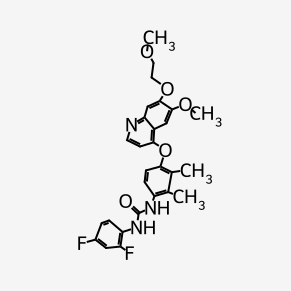 COCCOc1cc2nccc(Oc3ccc(NC(=O)Nc4ccc(F)cc4F)c(C)c3C)c2cc1OC